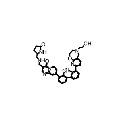 O=C1CCC(CNCc2cnc3cc(-c4cccc(-c5cccc(-c6ccc7c(n6)OCCN(CCO)C7)c5Cl)c4Cl)ccn3c2=O)N1